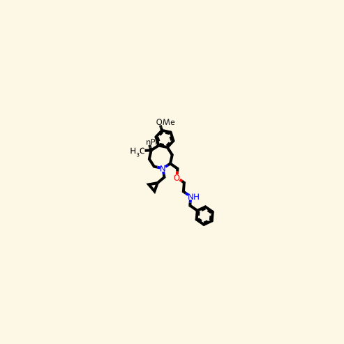 CCCC1(C)CCN(CC2CC2)C(COCCNCc2ccccc2)Cc2ccc(OC)cc21